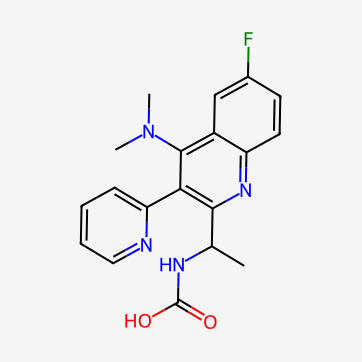 CC(NC(=O)O)c1nc2ccc(F)cc2c(N(C)C)c1-c1ccccn1